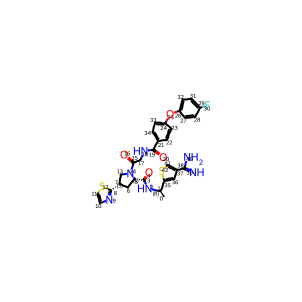 C[C@@H](NC(=O)[C@@H]1C[C@H](c2nccs2)CN1C(=O)CNC(=O)c1ccc(Oc2ccc(F)cc2)cc1)c1cc(C(=N)N)cs1